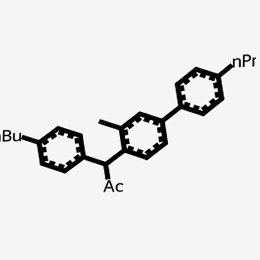 CCCCc1ccc(C(C(C)=O)c2ccc(-c3ccc(CCC)cc3)cc2C)cc1